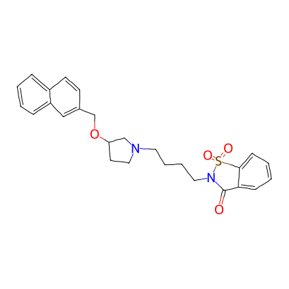 O=C1c2ccccc2S(=O)(=O)N1CCCCN1CCC(OCc2ccc3ccccc3c2)C1